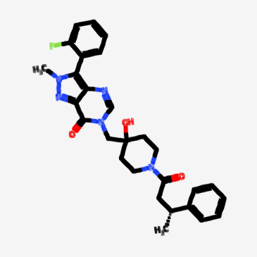 C[C@H](CC(=O)N1CCC(O)(Cn2cnc3c(-c4ccccc4F)n(C)nc3c2=O)CC1)c1ccccc1